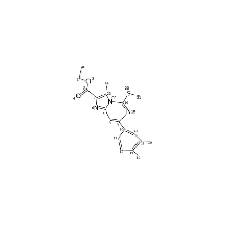 CCOC(=O)c1nc2cc(-c3ccc(C)c(C)c3)nc(SC)n2c1C